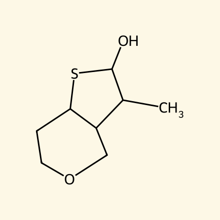 CC1C(O)SC2CCOCC21